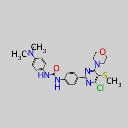 CSc1c(Cl)nc(-c2ccc(NC(=O)Nc3ccc(N(C)C)cc3)cc2)nc1N1CCOCC1